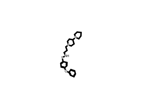 c1ccc(Oc2ccc(SNCCCN3CCC(N4CCCCC4)CC3)cc2)cc1